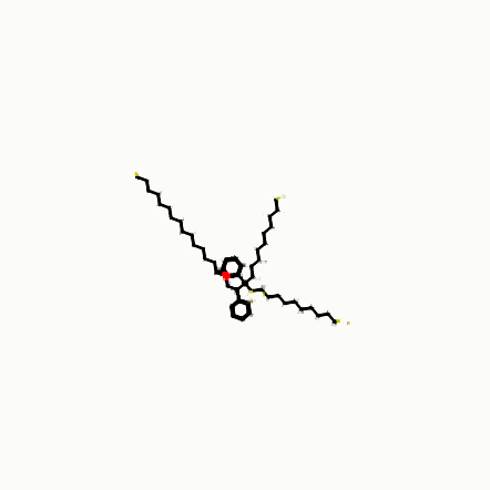 S[CH]CCCCCCCCCCCCCCCCC(c1ccccc1)C(CCCCCCCCCCS)([C](S)CCCCCCCCCCS)c1ccccc1